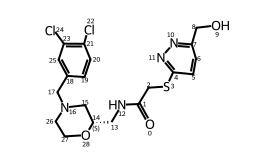 O=C(CSc1ccc(CO)nn1)NC[C@H]1CN(Cc2ccc(Cl)c(Cl)c2)CCO1